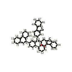 c1ccc(-c2ccc(-c3cc4ccccc4c4ccccc34)cc2N(c2ccc3c(c2)sc2ccccc23)c2ccc3c(c2)sc2ccccc23)cc1